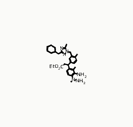 CCOC(=O)CC(c1ccc(C)c(Cn2nc(CC3CCCCC3)nc2C)c1)c1ccc(N(C)N)c(N)c1C